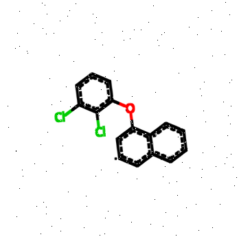 Clc1cccc(Oc2c[c]cc3ccccc23)c1Cl